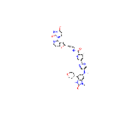 Cc1cc(-c2ncc(N(C)c3cc(C4CCOCC4)c4c(c3)n(C)c(=O)n4C)cn2)cnc1C(=O)NCC#Cc1cc2c(N3CCC(=O)NC3=O)nccc2o1